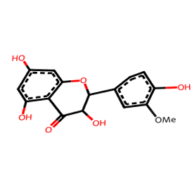 COc1cc(C2Oc3cc(O)cc(O)c3C(=O)C2O)ccc1O